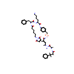 CNC(C(=O)NC(C(=O)N(C)C(C=C(C)C(=O)NS(=O)(=O)Cc1ccc(NC(=O)C(CCCCN)NC(=O)C(Cc2ccccc2)NC(=O)CCCCCN2C(=O)C=CC2=O)cc1)C(C)C)C(C)(C)C)C(C)(C)c1ccccc1